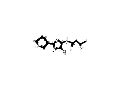 CC(S)CC(=O)Nc1sc(-c2cccnc2)nc1Cl